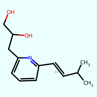 CC(C)/C=C/c1cccc(CC(O)CO)n1